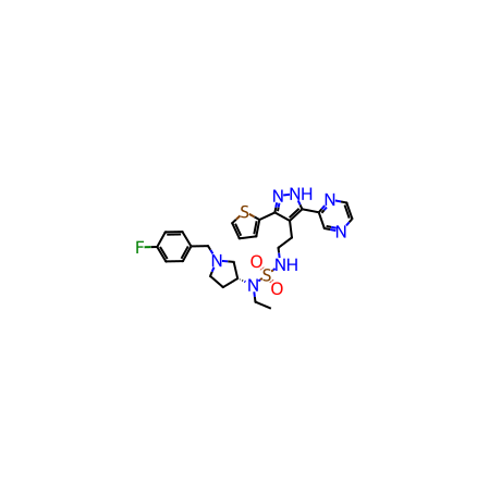 CCN([C@@H]1CCN(Cc2ccc(F)cc2)C1)S(=O)(=O)NCCc1c(-c2cccs2)n[nH]c1-c1cnccn1